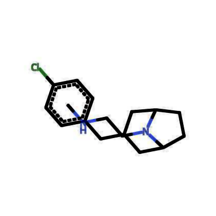 CNCCN1C2CCC1CC(Cc1ccc(Cl)cc1)C2